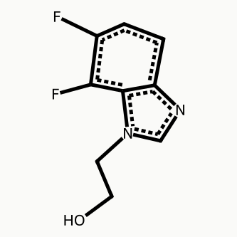 OCCn1cnc2ccc(F)c(F)c21